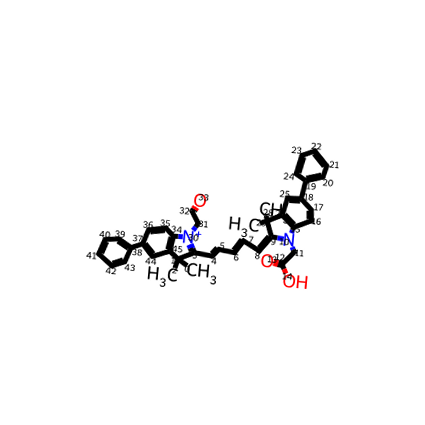 CC1(C)C(/C=C/C=C/C=C2/N(CC(=O)O)c3ccc(-c4ccccc4)cc3C2(C)C)=[N+](CC=O)c2ccc(-c3ccccc3)cc21